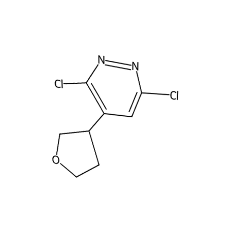 Clc1cc(C2CCOC2)c(Cl)nn1